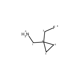 NCC1(CF)CC1